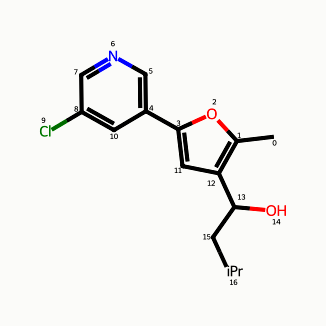 Cc1oc(-c2cncc(Cl)c2)cc1C(O)CC(C)C